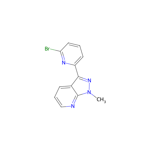 Cn1nc(-c2cccc(Br)n2)c2cccnc21